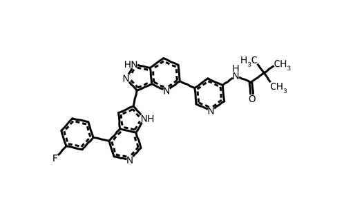 CC(C)(C)C(=O)Nc1cncc(-c2ccc3[nH]nc(-c4cc5c(-c6cccc(F)c6)cncc5[nH]4)c3n2)c1